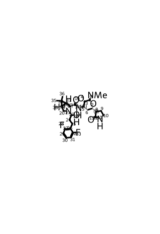 CNC(=O)C(=O)[C@H](CC[C@@H]1CCNC1=O)NC(=O)[C@@H]1[C@@H]2[C@H](CN1C(O)CCc1c(F)cccc1F)C2(C)C